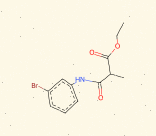 CCOC(=O)C(C)C(=O)Nc1cccc(Br)c1